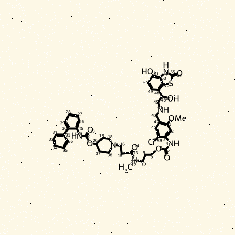 COc1cc(NC(=O)OCCCN(C)C(=O)CCN2CCC(OC(=O)Nc3ccccc3-c3ccccc3)CC2)c(Cl)cc1CNCC(O)c1ccc(O)c2[nH]c(=O)sc12